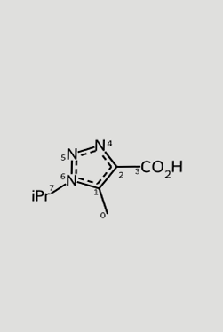 Cc1c(C(=O)O)nnn1C(C)C